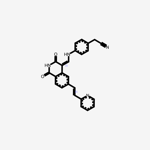 N#CCc1ccc(N/C=C2\C(=O)NC(=O)c3ccc(/C=C/c4ccccn4)cc32)cc1